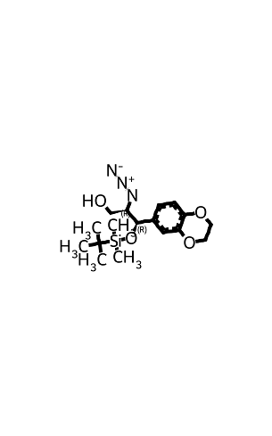 CC(C)(C)[Si](C)(C)O[C@H](c1ccc2c(c1)OCCO2)[C@@H](CO)N=[N+]=[N-]